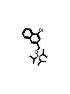 CC(C)[Si](OCc1cc(Br)c2ccccc2c1)(C(C)C)C(C)C